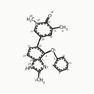 Cc1nc2c(Oc3ccccc3)c(-c3cc(C)c(=O)n(C)c3)ccc2[nH]1